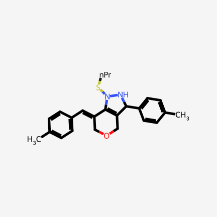 CCCSN1NC(c2ccc(C)cc2)C2=C1C(=Cc1ccc(C)cc1)COC2